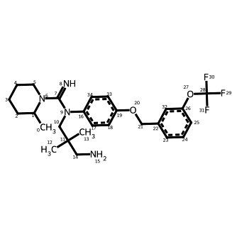 CC1CCCCN1C(=N)N(CC(C)(C)CN)c1ccc(OCc2cccc(OC(F)(F)F)c2)cc1